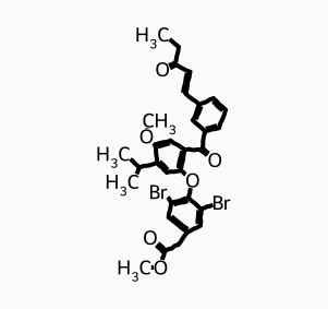 CCC(=O)C=Cc1cccc(C(=O)c2cc(OC)c(C(C)C)cc2Oc2c(Br)cc(CC(=O)OC)cc2Br)c1